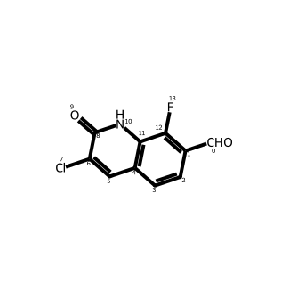 O=Cc1ccc2cc(Cl)c(=O)[nH]c2c1F